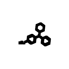 CCCCc1ccc(P(c2ccccc2)C2CCCCC2)cc1